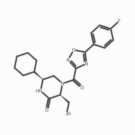 CC(C)C[C@H]1C(=O)N[C@@H](C2CCCCC2)CN1C(=O)c1noc(-c2ccc(F)cc2)n1